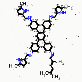 CC(C)=C/C=C(C)/C=N/c1ccc(-c2cc(-c3ccc(/N=C/c4ccc(C)[nH]4)cc3)c(-c3ccc(/N=C/c4ccc(C)[nH]4)cc3)cc2-c2ccc(/N=C/c3ccc(C)[nH]3)cc2)cc1